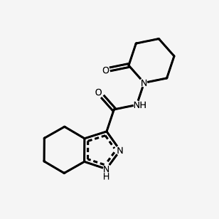 O=C(NN1CCCCC1=O)c1n[nH]c2c1CCCC2